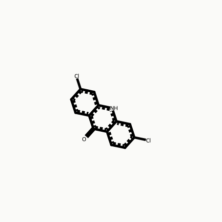 O=c1c2ccc(Cl)cc2[nH]c2cc(Cl)ccc12